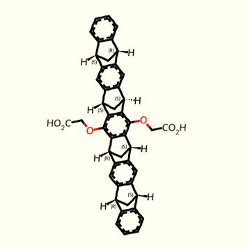 O=C(O)COc1c2c(c(OCC(=O)O)c3c1[C@H]1C[C@H]3c3cc4c(cc31)[C@H]1C[C@@H]4c3ccccc31)[C@H]1C[C@@H]2c2cc3c(cc21)[C@H]1C[C@@H]3c2ccccc21